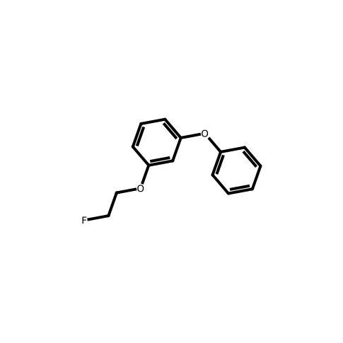 FCCOc1cccc(Oc2ccccc2)c1